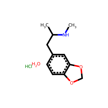 CNC(C)Cc1ccc2c(c1)OCO2.Cl.O